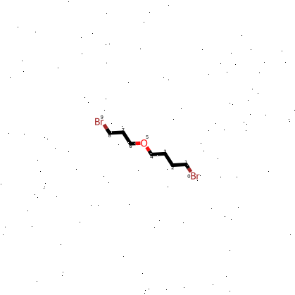 BrCCCCOCCCBr